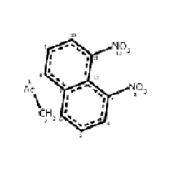 CC(C)=O.O=[N+]([O-])c1cccc2cccc([N+](=O)[O-])c12